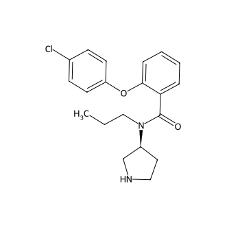 CCCN(C(=O)c1ccccc1Oc1ccc(Cl)cc1)[C@H]1CCNC1